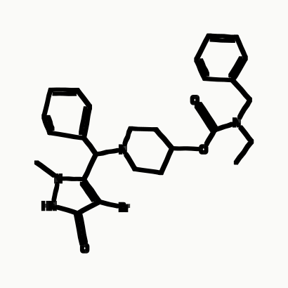 CCN(Cc1ccccc1)C(=O)OC1CCN(C(c2ccccc2)c2c(Br)c(=O)[nH]n2C)CC1